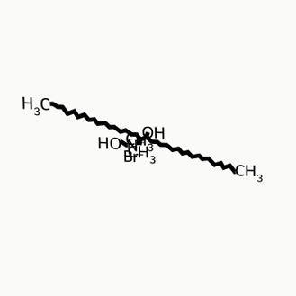 CCCCCCCCCCCCCCCCCCC(O)C(CCCCCCCCCCCCCCCCCC)C[N+](C)(C)CCO.[Br-]